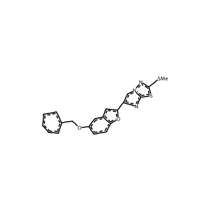 CSc1nn2cc(-c3cc4cc(OCc5ccccc5)ccc4o3)nc2s1